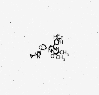 Cc1nc2c(C3C[C@@H]4[C@H](C3)C4(F)F)cc([C@H]3CCO[C@@H](c4cnn(C5CC5)c4)C3)nn2c(=O)c1C